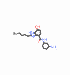 CCC(C)CCCCc1nc2c(C(=O)NC3CCCC(N)C3)ccc(O)c2[nH]1